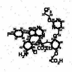 CCOC(=O)[C@@H](Cc1cc(OCC(=O)O)ccc1OCc1ccnc(OCCC(F)(F)F)n1)Oc1ncnc2sc(-c3ccc(F)cc3)c(-c3ccc(N)c(Cl)c3C)c12